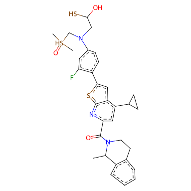 CC1c2ccccc2CCN1C(=O)c1cc(C2CC2)c2cc(-c3ccc(N(CC(O)S)C[SH](C)(C)=O)cc3F)sc2n1